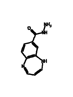 NNC(=O)c1ccc2c(c1)NC=CC=N2